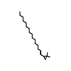 CCCCCCCCCCCCCCC=CC1CC1(C)C